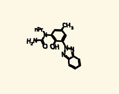 CCCN(C(N)=O)c1cc(C)cc(-n2nc3ccccc3n2)c1O